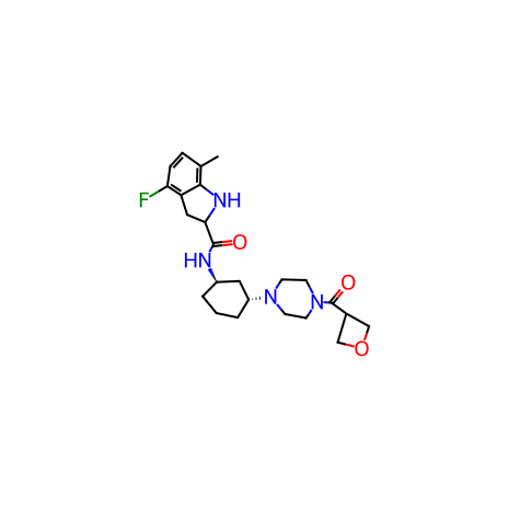 Cc1ccc(F)c2c1NC(C(=O)N[C@@H]1CCC[C@@H](N3CCN(C(=O)C4COC4)CC3)C1)C2